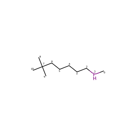 CPCCCCCC(C)(C)C